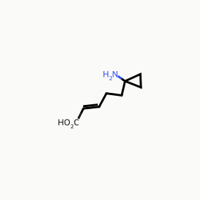 NC1(CC/C=C/C(=O)O)CC1